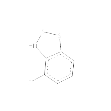 Fc1cccc2c1NSS2